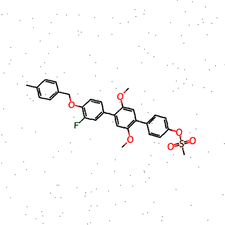 COc1cc(-c2ccc(OCc3ccc(C)cc3)c(F)c2)c(OC)cc1-c1ccc(OS(C)(=O)=O)cc1